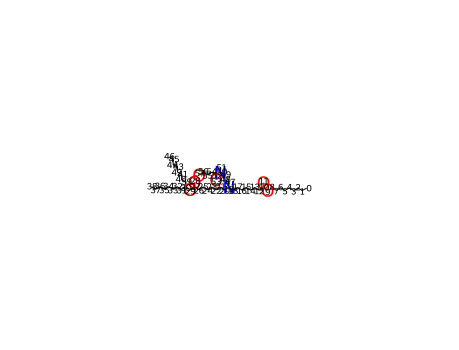 CCCCCCCCCOC(=O)CCCCCCCN(CCCCCCCC(=O)OC(CCCCCCCC)CCCCCCCC)CCCN(C)C(=O)CCC=O